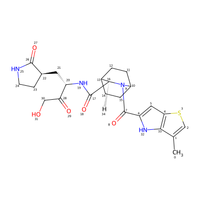 Cc1csc2cc(C(=O)N3C4CCC(CC4)[C@@H]3C(=O)N[C@@H](C[C@H]3CCNC3=O)C(=O)CO)[nH]c12